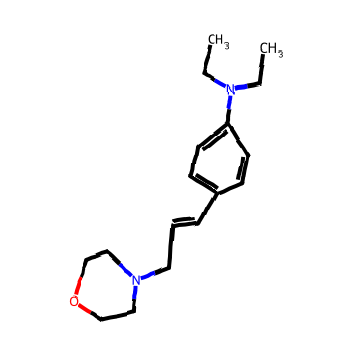 CCN(CC)c1ccc(/C=C/CN2CCOCC2)cc1